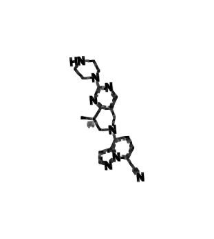 C[C@@H]1CN(c2ccc(C#N)n3nccc23)Cc2cnc(N3CCNCC3)nc21